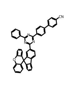 N#Cc1ccc(-c2ccc(-c3nc(-c4ccccc4)nc(-c4ccc5c(c4)C4(c6ccccc6Oc6ccccc64)c4ccccc4-5)n3)cc2)cc1